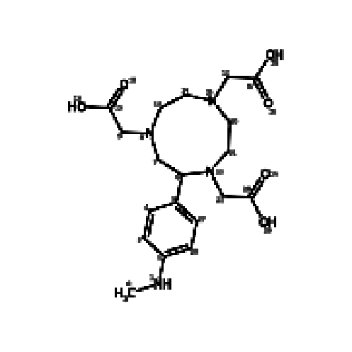 CNc1ccc(C2CN(CC(=O)O)CCN(CC(=O)O)CCN2CC(=O)O)cc1